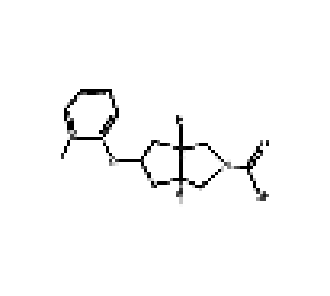 O=C(O)N1C[C@H]2CC(Oc3ccccc3F)C[C@H]2C1